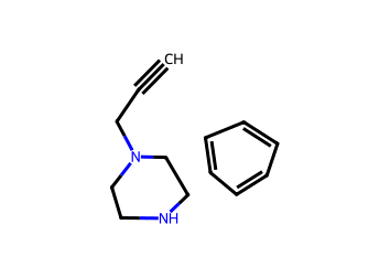 C#CCN1CCNCC1.c1ccccc1